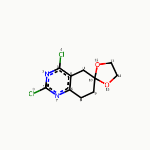 Clc1nc(Cl)c2c(n1)CCC1(C2)OCCO1